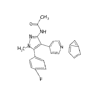 CC(=O)Nc1nn(C)c(-c2ccc(F)cc2)c1-c1ccncc1.c1cc2cc-2c1